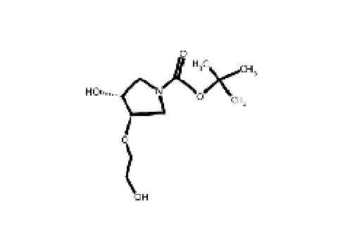 CC(C)(C)OC(=O)N1C[C@@H](O)[C@H](OCCO)C1